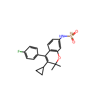 CC1(C)Oc2cc(N[SH](=O)=O)ccc2C(c2ccc(F)cc2)=C1C1CC1